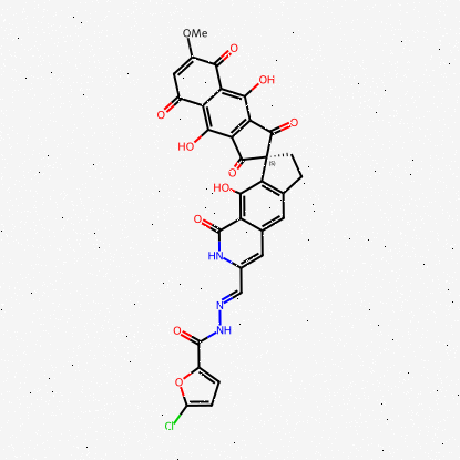 COC1=CC(=O)c2c(O)c3c(c(O)c2C1=O)C(=O)[C@]1(CCc2cc4cc(C=NNC(=O)c5ccc(Cl)o5)[nH]c(=O)c4c(O)c21)C3=O